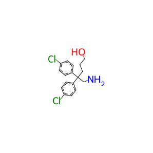 NCC(CCCO)(c1ccc(Cl)cc1)c1ccc(Cl)cc1